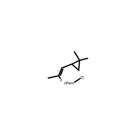 C/C(F)=C/C1CC1(C)C.CCCCCCl